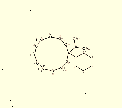 COC(OC)[Si]1(C2CCCCC2)O[SiH2]O[SiH2]O[SiH2]O[SiH2]O[SiH2]O1